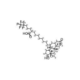 C[C@]12CCC(=O)CC1CC(CCCCCCCCC(CCCC(F)(F)C(F)(F)F)C(=O)O)[C@@H]1[C@H]2CC[C@]2(C)C(O)CC[C@@H]12